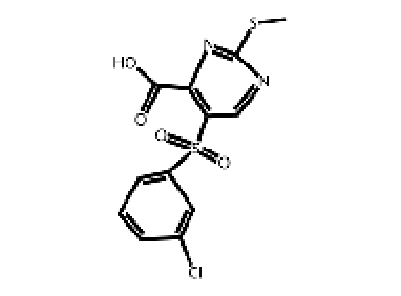 CSc1ncc(S(=O)(=O)c2cccc(Cl)c2)c(C(=O)O)n1